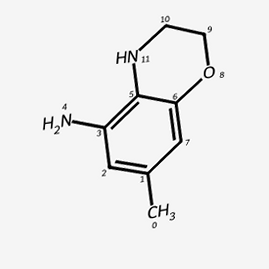 Cc1cc(N)c2c(c1)OCCN2